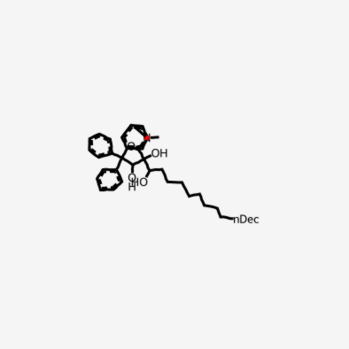 CCCCCCCCCCCCCCCCCCC(O)C(O)(C(=O)N(C)C)C(O)C(c1ccccc1)(c1ccccc1)c1ccccc1